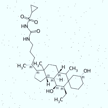 CC[C@H]1[C@@H](O)[C@@H]2[C@H](CCC3(C)[C@@H]([C@H](C)CCCNC(=O)NS(=O)(=O)C4CC4)CC[C@@H]23)C(C)C12CCC[C@@H](O)C2